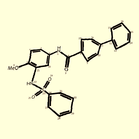 COc1ccc(NC(=O)c2ccc(-c3ccccc3)cc2)cc1NS(=O)(=O)c1ccccc1